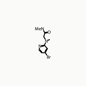 CNC(=O)CN(C)c1cc(Br)ccn1